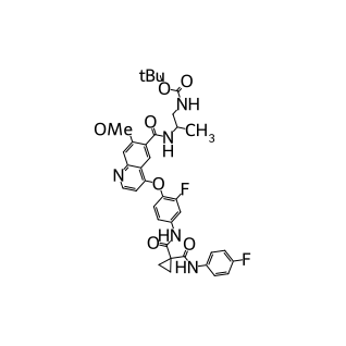 COc1cc2nccc(Oc3ccc(NC(=O)C4(C(=O)Nc5ccc(F)cc5)CC4)cc3F)c2cc1C(=O)NC(C)CNC(=O)OC(C)(C)C